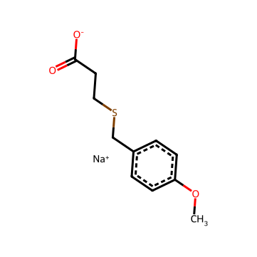 COc1ccc(CSCCC(=O)[O-])cc1.[Na+]